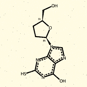 OC[C@@H]1CC[C@H](n2cnc3c(O)nc(S)nc32)O1